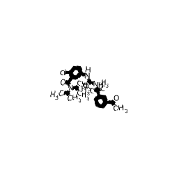 CC(=O)c1cccc(C(C)(C)NC(=O)Nc2ccc(Cl)c(C(=O)N(C(C)C)C(C)C)c2)c1